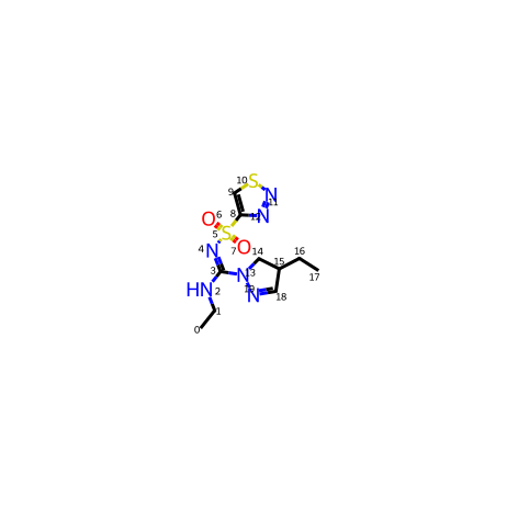 CCNC(=NS(=O)(=O)c1csnn1)N1CC(CC)C=N1